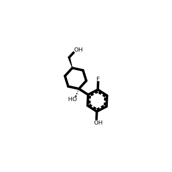 OC[C@H]1CC[C@@](O)(c2cc(O)ccc2F)CC1